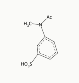 CC(=O)N(C)c1cccc(S(=O)(=O)O)c1